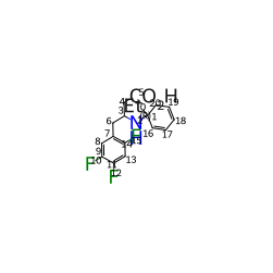 CC[C@]1(NC(CC(=O)O)Cc2cc(F)c(F)cc2F)C=CC=CC1